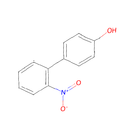 O=[N+]([O-])c1ccc[c]c1-c1ccc(O)cc1